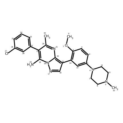 COc1ccc(N2CCN(C)CC2)cc1-c1cnn2c(N)c(-c3cccc(Cl)c3)c(C)nc12